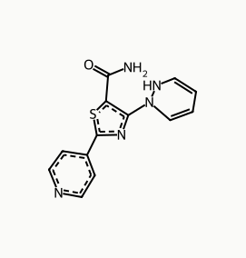 NC(=O)c1sc(-c2ccncc2)nc1N1C=CC=CN1